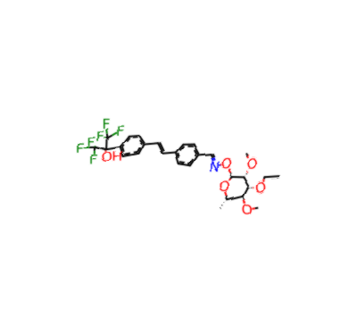 CCO[C@@H]1[C@@H](OC)[C@H](C)O[C@@H](ON=Cc2ccc(C=Cc3ccc(C(O)(C(F)(F)F)C(F)(F)F)cc3)cc2)[C@@H]1OC